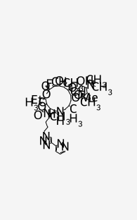 CC[C@H]1OC(=O)[C@](C)(F)C(=O)[C@@H](C)[C@@H](O[C@@H]2OC(C)CC(N(C)C)C2O)[C@](C)(OC)C[C@@H](C)CN[C@H](C)[C@H]2N(CCCCn3cc(-c4cccnn4)nn3)C(=O)O[C@]12C